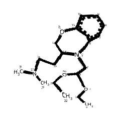 CCOC(CN1c2ccccc2OCC1CCN(C)C)OCC